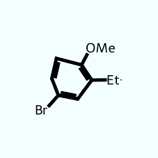 C[CH]c1cc(Br)ccc1OC